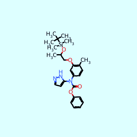 Cc1ccc(N(C(=O)Oc2ccccc2)c2ccn[nH]2)cc1OCC(C)O[Si](C)(C)C(C)(C)C